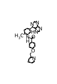 Cc1ccc(-c2ncnc3nc[nH]c23)cc1NC(=O)c1ccc(OCc2ccccn2)cc1